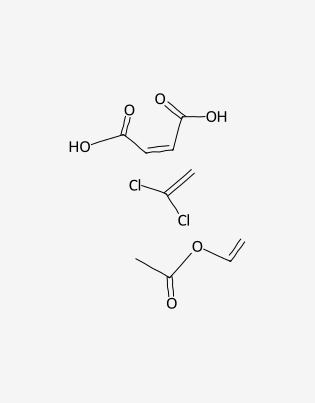 C=C(Cl)Cl.C=COC(C)=O.O=C(O)/C=C\C(=O)O